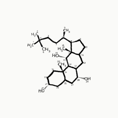 C[C@H](CCC(C)(C)C)[C@H]1CCC2CC3C([C@H](O)[C@@]21C)[C@@]1(C)CC[C@@H](O)CC1C[C@H]3O